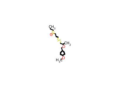 C=C(CSSC=CC[S+]([O-])CCC)OCc1ccc(OC)cc1